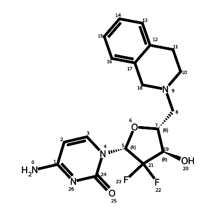 Nc1ccn([C@@H]2O[C@H](CN3CCc4ccccc4C3)[C@@H](O)C2(F)F)c(=O)n1